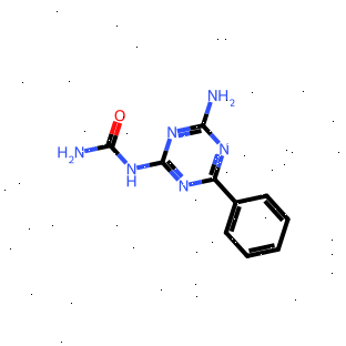 NC(=O)Nc1nc(N)nc(-c2ccccc2)n1